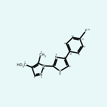 Cc1c(C(=O)O)cnn1-c1nc(-c2ccc(F)cc2)cs1